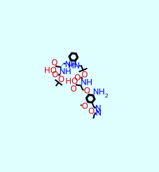 COc1cc(OCC(NC(=O)OC(C)(C)CNc2ccccc2NC[C@H](NC(=O)OC(C)(C)C)C(=O)O)C(=O)O)c(N)cc1-c1nnc(C)o1